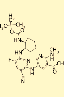 CNc1ncc(Nc2nc(N[C@@H]3CCCC[C@@H]3NC(=O)OC(C)(C)C)c(F)cc2C#N)cc1C(C)=O